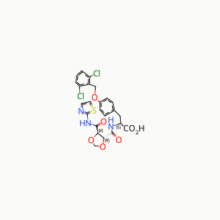 O=C(O)[C@H](Cc1ccc(OCc2c(Cl)cccc2Cl)cc1)NC(=O)[C@@H]1OCO[C@H]1C(=O)Nc1nccs1